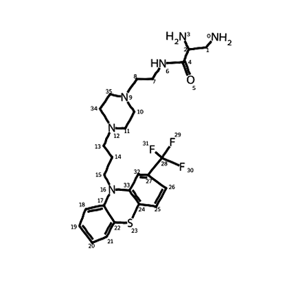 NCC(N)C(=O)NCCN1CCN(CCCN2c3ccccc3Sc3ccc(C(F)(F)F)cc32)CC1